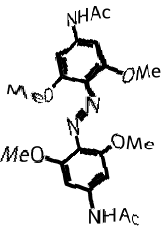 COc1cc(NC(C)=O)cc(OC)c1/N=N/c1c(OC)cc(NC(C)=O)cc1OC